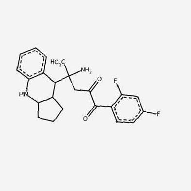 NC(CC(=O)C(=O)c1ccc(F)cc1F)(C(=O)O)C1c2ccccc2NC2CCCC21